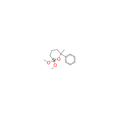 CO[Si]1(OC)CCCC(C)(c2ccccc2)O1